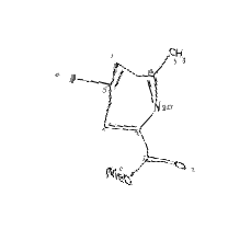 COC(=O)c1cc(I)cc(C)n1